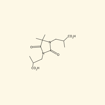 CC(CN1C(=O)N(CC(C)C(=O)O)C(C)(C)C1=O)C(=O)O